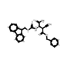 C#CC(C(=O)OCc1ccccc1)[C@@H](NC(=O)OCC1c2ccccc2-c2ccccc21)C(=O)O